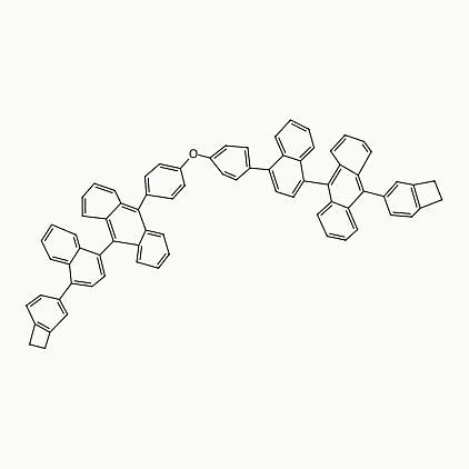 c1ccc2c(-c3c4ccccc4c(-c4ccc(Oc5ccc(-c6ccc(-c7c8ccccc8c(-c8ccc9c(c8)CC9)c8ccccc78)c7ccccc67)cc5)cc4)c4ccccc34)ccc(-c3ccc4c(c3)CC4)c2c1